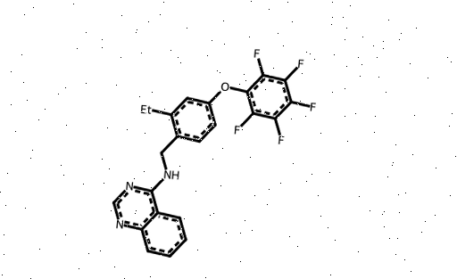 CCc1cc(Oc2c(F)c(F)c(F)c(F)c2F)ccc1CNc1ncnc2ccccc12